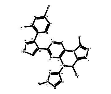 CCC1c2nnc(C)n2-c2cnc(-c3c[nH]nc3-c3ccc(F)cc3F)nc2N1c1ccn(C)n1